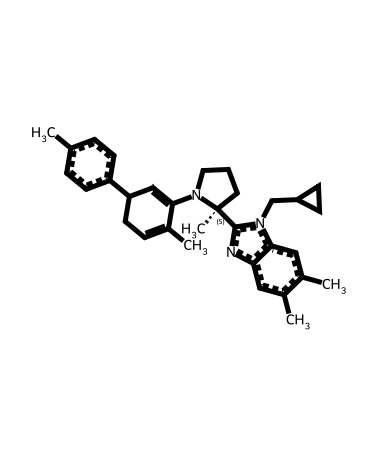 CC1=CCC(c2ccc(C)cc2)[C]=C1N1CCC[C@@]1(C)c1nc2cc(C)c(C)cc2n1CC1CC1